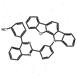 N#Cc1cccc(-c2nc(-c3cccc(-n4c5ccccc5c5ccc6c7ccccc7oc6c54)c3)nc3ccccc23)c1